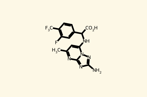 Cc1cc(NC(C(=O)O)c2ccc(C(F)(F)F)c(F)c2)n2nc(N)nc2n1